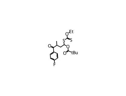 CCOC(=S)SC(CC(C)C(=O)c1ccc(F)cc1)OC(=O)C(C)(C)C